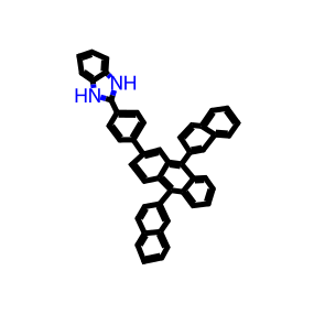 c1ccc2c(c1)NC(c1ccc(-c3ccc4c(-c5ccc6ccccc6c5)c5ccccc5c(-c5ccc6ccccc6c5)c4c3)cc1)N2